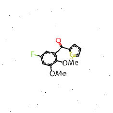 COc1cc(F)cc(C(=O)c2cccs2)c1OC